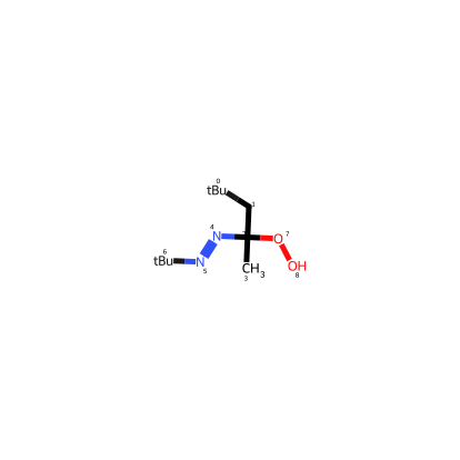 CC(C)(C)CC(C)(N=NC(C)(C)C)OO